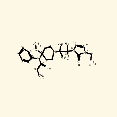 [2H]C([2H])(N1CCC(OC)(N(C(=O)CC)c2ccccc2)CC1)C([2H])([2H])n1nnn(CC)c1=O